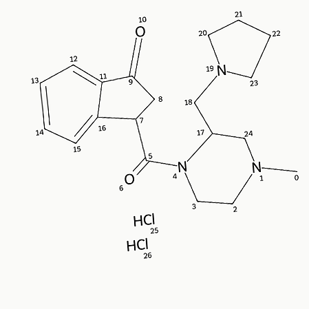 CN1CCN(C(=O)C2CC(=O)c3ccccc32)C(CN2CCCC2)C1.Cl.Cl